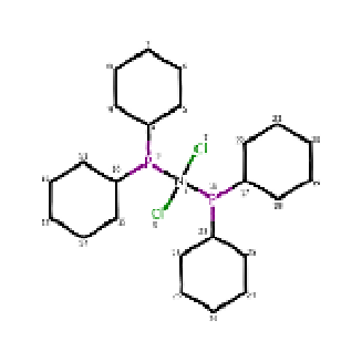 [Cl][Ni]([Cl])([P](C1CCCCC1)C1CCCCC1)[P](C1CCCCC1)C1CCCCC1